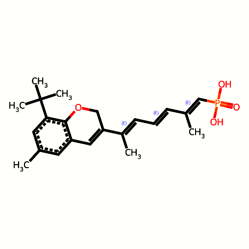 CC(/C=C/C=C(\C)C1=Cc2cc(C)cc(C(C)(C)C)c2OC1)=C\P(=O)(O)O